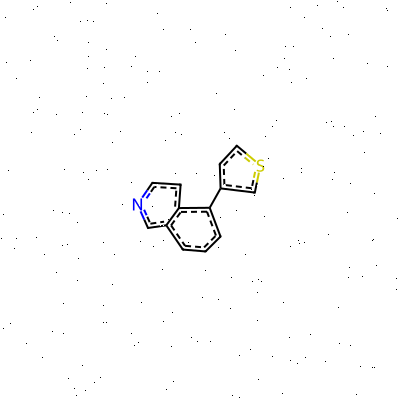 c1cc(-c2ccsc2)c2ccncc2c1